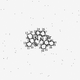 Brc1c(N2CN(c3c(Br)c4ccccc4c4ccccc34)c3cccc4cccc2c34)c2ccccc2c2ccccc12